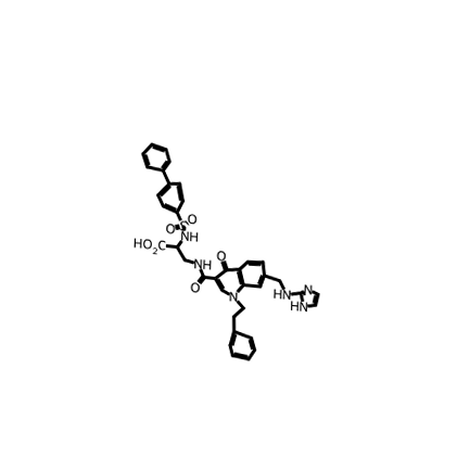 O=C(NCC(NS(=O)(=O)c1ccc(-c2ccccc2)cc1)C(=O)O)c1cn(CCc2ccccc2)c2cc(CNc3ncc[nH]3)ccc2c1=O